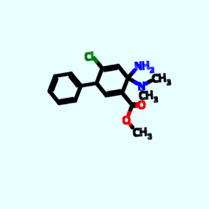 COC(=O)C1=CC(c2ccccc2)C(Cl)=CC1(N)N(C)C